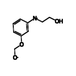 [O]COc1cccc([N]CCO)c1